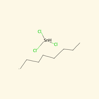 [CH2]CCCCCCC.[Cl][SnH]([Cl])[Cl]